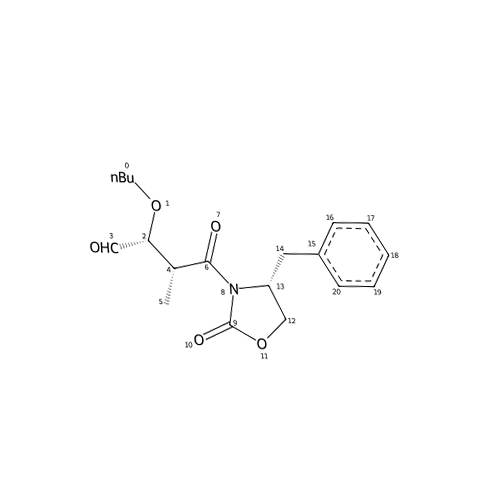 CCCCO[C@@H](C=O)[C@@H](C)C(=O)N1C(=O)OC[C@H]1Cc1ccccc1